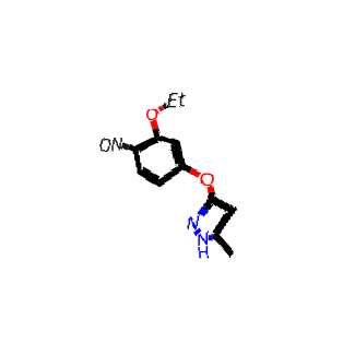 CCOc1cc(Oc2cc(C)[nH]n2)ccc1N=O